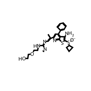 C=N/C(=N\C=C(/C)c1cc(-c2ccccc2)c2c(N)c([S@+]([O-])C3CCC3)sc2n1)NCCOCCO